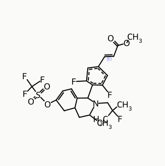 COC(=O)/C=C/c1cc(F)c(C2C3=CC=C(OS(=O)(=O)C(F)(F)F)CC3CC(C)N2CC(C)(C)F)c(F)c1